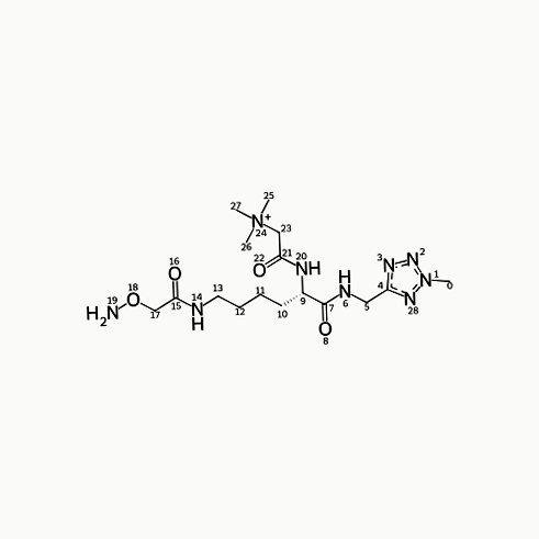 Cn1nnc(CNC(=O)[C@H](CCCCNC(=O)CON)NC(=O)C[N+](C)(C)C)n1